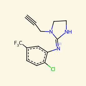 C#CCN1CCN/C1=N/c1cc(C(F)(F)F)ccc1Cl